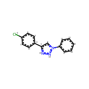 Clc1ccc(-c2cn(-c3ccccc3)nn2)cc1